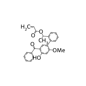 C=CC(=O)OC(C)c1ccccc1-c1cc(C(=O)c2ccccc2)c(O)cc1OC